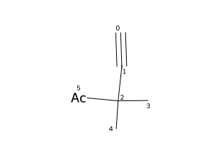 C#CC(C)(C)C(C)=O